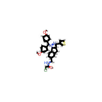 COc1ccc(C(c2ccc(OC)cc2)n2nc(-c3ccsc3)c3c2-c2ccc(CNC(=O)CCl)cc2C3)cc1